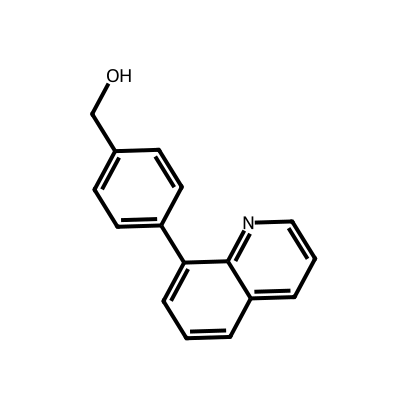 OCc1ccc(-c2cccc3cccnc23)cc1